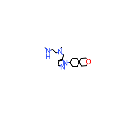 CNCCN(C)Cc1ccnn1C1CCC2(CCOCC2)CC1